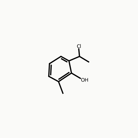 Cc1cccc(C(C)Cl)c1O